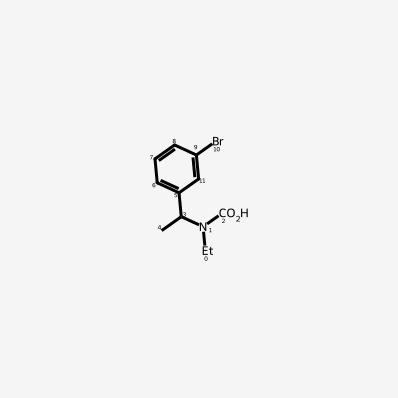 CCN(C(=O)O)C(C)c1cccc(Br)c1